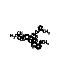 COc1cccc(F)c1-c1nc2nc(OC[C@@H]3CCCN3C)nc(N3CCN(C(=O)OC(C)(C)C)C[C@H]3C)c2cc1F